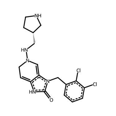 O=c1[nH]c2c(n1Cc1cccc(Cl)c1Cl)=CN(NC[C@@H]1CCNC1)CC=2